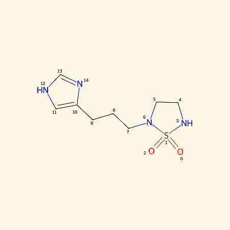 O=S1(=O)NCCN1CCCc1c[nH]cn1